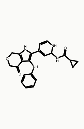 O=C1COCc2[nH]c(C3=CC(NC(=O)C4CC4)NC=C3)c(Nc3ccccc3)c21